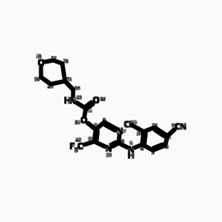 N#Cc1ccc(Nc2ncc(OC(=O)NCC3CCOCC3)c(C(F)(F)F)n2)c(Cl)c1